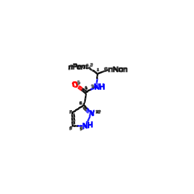 CCCCCCCCCC(CCCCC)NC(=O)c1cc[nH]n1